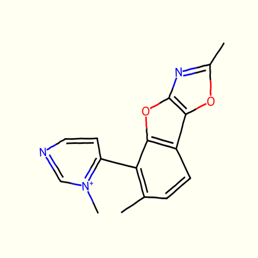 Cc1nc2oc3c(-c4ccnc[n+]4C)c(C)ccc3c2o1